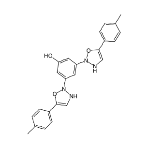 Cc1ccc(C2=CNN(c3cc(O)cc(N4NC=C(c5ccc(C)cc5)O4)c3)O2)cc1